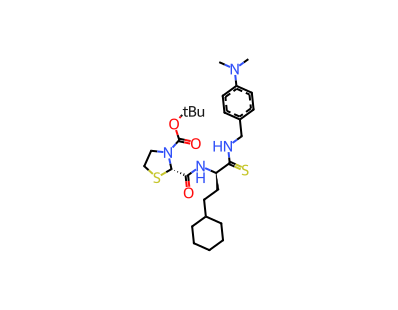 CN(C)c1ccc(CNC(=S)[C@@H](CCC2CCCCC2)NC(=O)[C@@H]2SCCN2C(=O)OC(C)(C)C)cc1